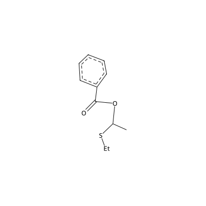 CCSC(C)OC(=O)c1ccccc1